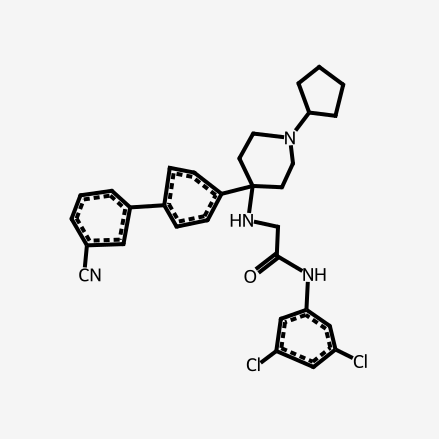 N#Cc1cccc(-c2ccc(C3(NCC(=O)Nc4cc(Cl)cc(Cl)c4)CCN(C4CCCC4)CC3)cc2)c1